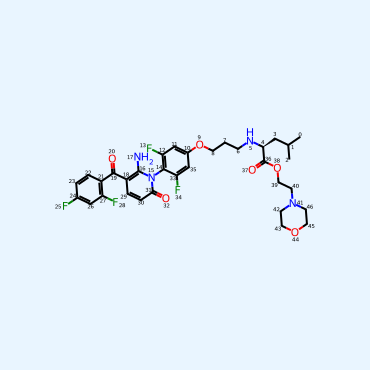 CC(C)C[C@H](NCCCOc1cc(F)c(-n2c(N)c(C(=O)c3ccc(F)cc3F)ccc2=O)c(F)c1)C(=O)OCCN1CCOCC1